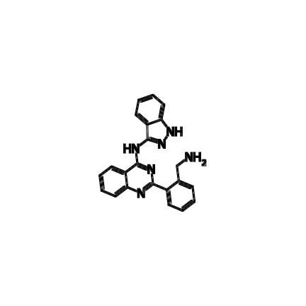 NCc1ccccc1-c1nc(Nc2n[nH]c3ccccc23)c2ccccc2n1